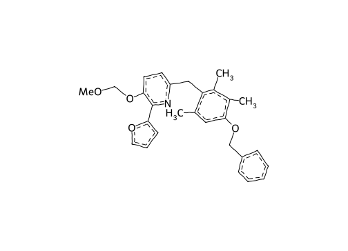 COCOc1ccc(Cc2c(C)cc(OCc3ccccc3)c(C)c2C)nc1-c1ccco1